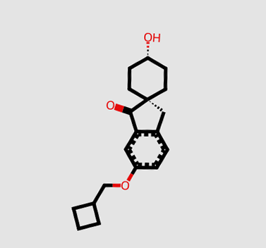 O=C1c2cc(OCC3CCC3)ccc2C[C@]12CC[C@@H](O)CC2